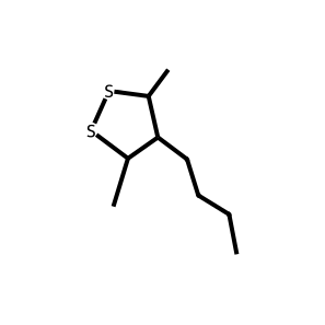 CCCCC1C(C)SSC1C